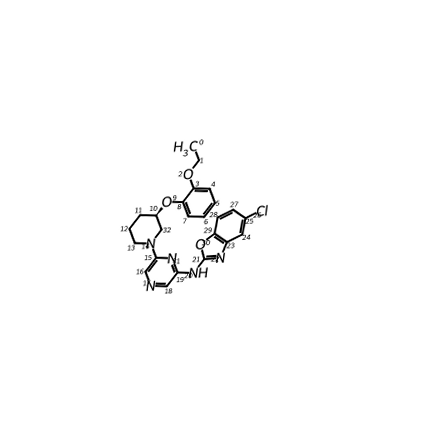 CCOc1ccccc1O[C@@H]1CCCN(c2cncc(Nc3nc4cc(Cl)ccc4o3)n2)C1